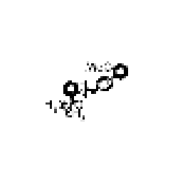 COc1ccccc1N1CCN(CCNc2ccccc2C(=O)N(C)C)CC1